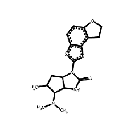 CC1CC2C(NC(=O)N2c2nc3c4c(ccc3s2)OCC4)C1N(C)C